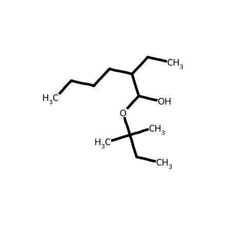 CCCCC(CC)C(O)OC(C)(C)CC